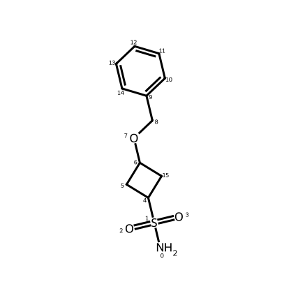 NS(=O)(=O)C1CC(OCc2ccccc2)C1